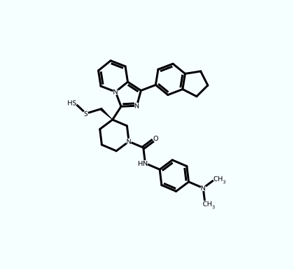 CN(C)c1ccc(NC(=O)N2CCC[C@](CSS)(c3nc(-c4ccc5c(c4)CCC5)c4ccccn34)C2)cc1